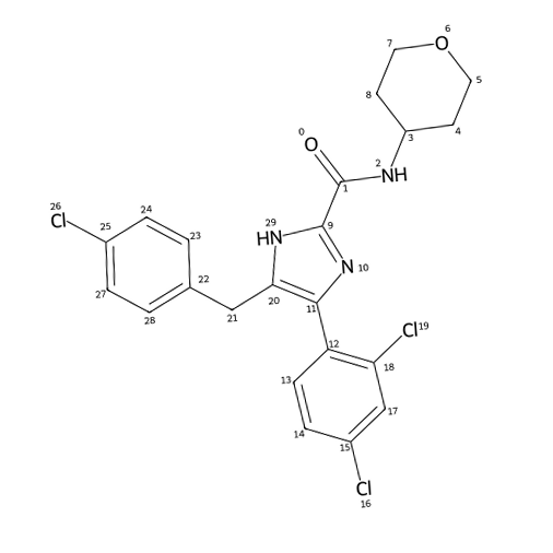 O=C(NC1CCOCC1)c1nc(-c2ccc(Cl)cc2Cl)c(Cc2ccc(Cl)cc2)[nH]1